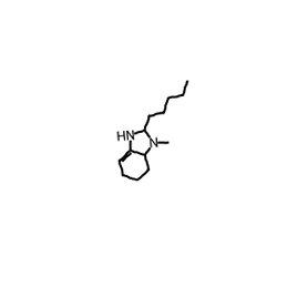 CCCCCC1NC2=CCCCC2N1C